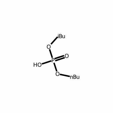 CCCCOP(=O)(O)OC(C)CC